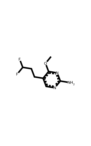 COc1nc(N)ncc1CCC(F)F